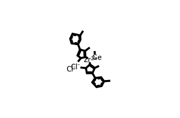 CC1=[C]([Zr+2]([C]2=C(C)C(c3cccc(C)c3)=CC2C)=[Ge]([CH3])[CH3])C(C)C=C1c1cccc(C)c1.[Cl-].[Cl-]